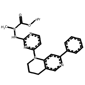 CCCOC(=O)N(C)Nc1nccc(N2CCCc3cnc(-c4ccccc4)cc32)n1